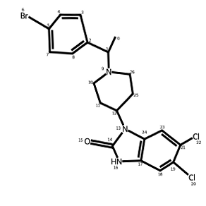 CC(c1ccc(Br)cc1)N1CCC(n2c(=O)[nH]c3cc(Cl)c(Cl)cc32)CC1